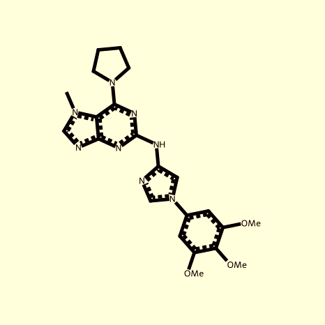 COc1cc(-n2cnc(Nc3nc(N4CCCC4)c4c(ncn4C)n3)c2)cc(OC)c1OC